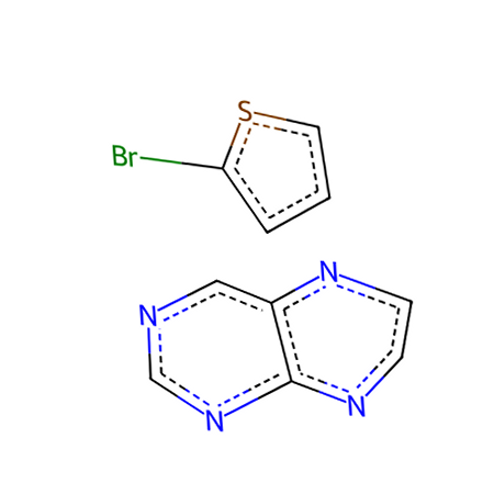 Brc1cccs1.c1cnc2ncncc2n1